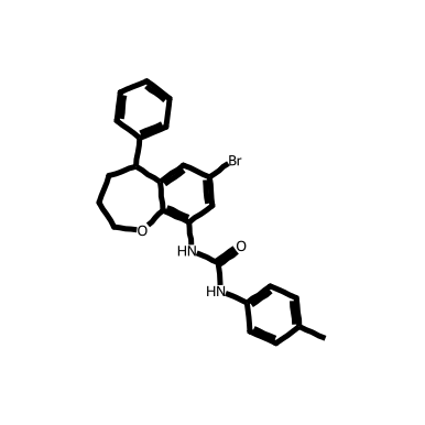 Cc1ccc(NC(=O)Nc2cc(Br)cc3c2OCCCC3c2ccccc2)cc1